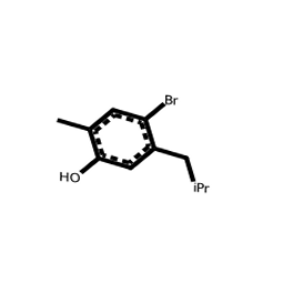 Cc1cc(Br)c(CC(C)C)cc1O